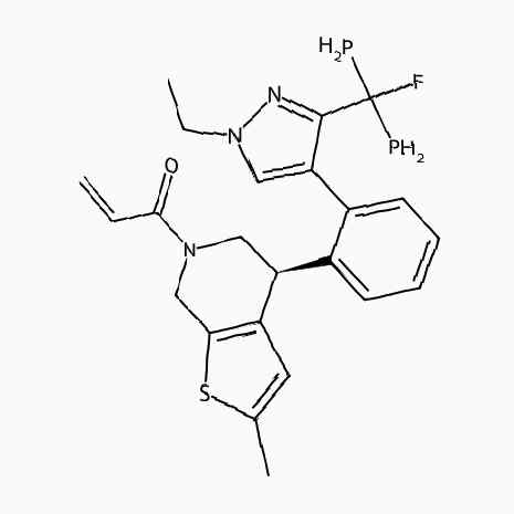 C=CC(=O)N1Cc2sc(C)cc2[C@H](c2ccccc2-c2cn(CC)nc2C(F)(P)P)C1